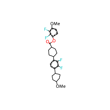 COc1ccc(OC(=O)C2CCC(c3ccc(C4CCC(OC)CC4)c(F)c3F)CC2)c(F)c1F